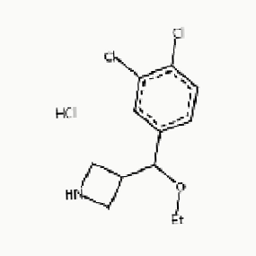 CCOC(c1ccc(Cl)c(Cl)c1)C1CNC1.Cl